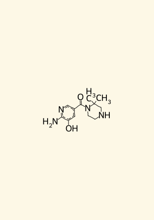 CC1(C)CNCCN1C(=O)c1cnc(N)c(O)c1